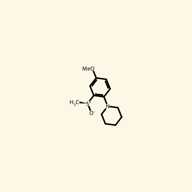 COc1ccc(N2CCCCC2)c([S@+](C)[O-])c1